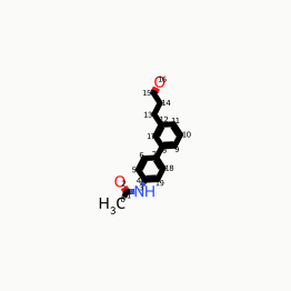 CC(=O)Nc1ccc(-c2cccc(CCC=O)c2)cc1